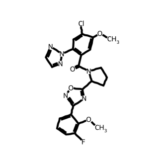 COc1cc(C(=O)N2CCCC2c2nc(-c3cccc(F)c3OC)no2)c(-n2nccn2)cc1Cl